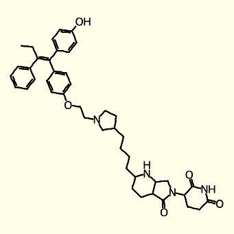 CC/C(=C(\c1ccc(O)cc1)c1ccc(OCCN2CCC(CCCCC3CCC4C(=O)N(C5CCC(=O)NC5=O)CC4N3)C2)cc1)c1ccccc1